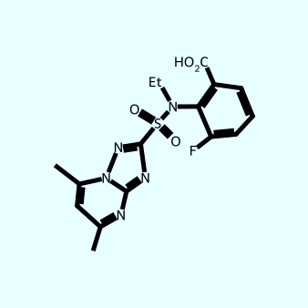 CCN(c1c(F)cccc1C(=O)O)S(=O)(=O)c1nc2nc(C)cc(C)n2n1